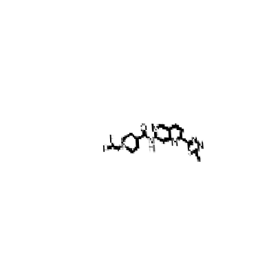 Cc1nnc(-c2ccc3cnc(NC(=O)C4CCN(CC(F)F)CC4)cc3n2)s1